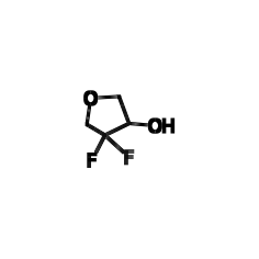 OC1COCC1(F)F